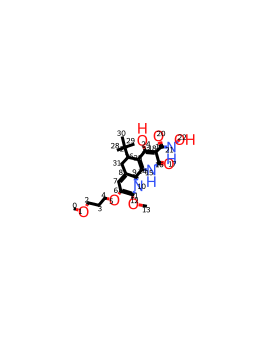 COCCCOc1cc2c(nc1OC)-c1[nH]c(=O)c(C(=O)NO)c(O)c1C(C(C)(C)C)C2